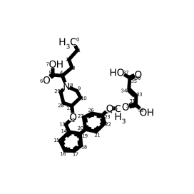 CCCCC(C(=O)O)N1CCC(OCc2ccccc2-c2ccc(OC)cc2)CC1.O=C(O)C=CC(=O)O